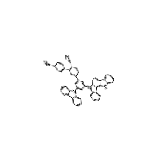 N#Cc1ccc(-c2cc(-c3cc(-n4c5ccccc5c5ccccc54)cc(-n4c5ccccc5c5c6sc7ccccc7c6ccc54)c3)ccc2C#N)cc1